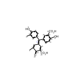 CC1=C/C(=C(\c2ccc(O)c(C)c2)c2ccc(O)c(C(=O)O)c2)C=C(C(=O)O)C1=O